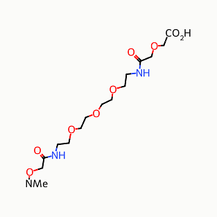 CNOCC(=O)NCCOCCOCCOCCNC(=O)COCC(=O)O